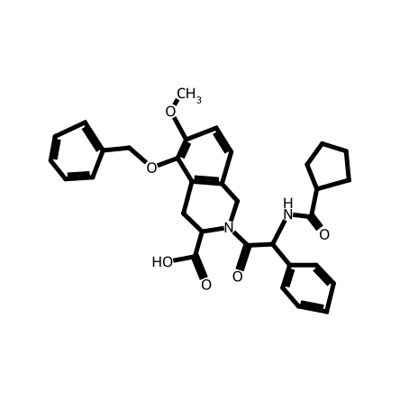 COc1ccc2c(c1OCc1ccccc1)CC(C(=O)O)N(C(=O)C(NC(=O)C1CCCC1)c1ccccc1)C2